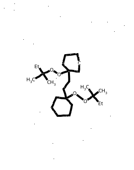 CCC(C)(C)OOC1(CCC2(OOC(C)(C)CC)CCCCC2)CCCCC1